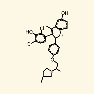 CC1=C(c2ccc(Cl)c(O)c2Cl)C(c2ccc(OCC(C)N3CCC(C)C3)cc2)Oc2ccc(O)cc21